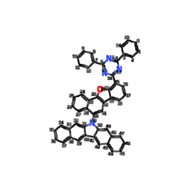 c1ccc(-c2nc(-c3ccccc3)nc(-c3cccc4c3oc3c5ccccc5c(-n5c6cc7ccccc7cc6c6cc7ccccc7cc65)cc43)n2)cc1